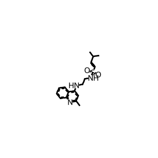 Cc1cc(NCCNS(=O)(=O)C=CC(C)C)c2ccccc2n1